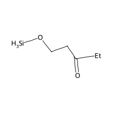 CCC(=O)CCO[SiH3]